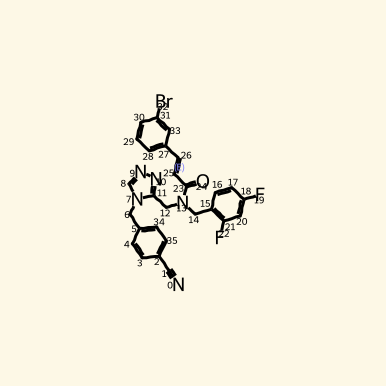 N#Cc1ccc(Cn2cnnc2CN(Cc2ccc(F)cc2F)C(=O)/C=C/c2cccc(Br)c2)cc1